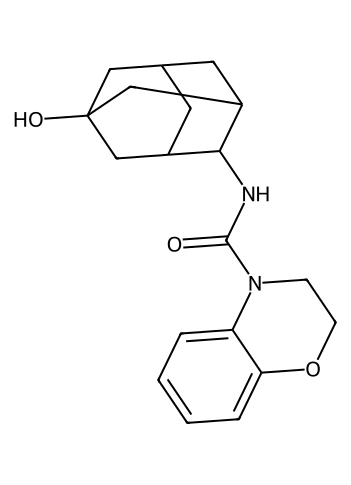 O=C(NC1C2CC3CC1CC(O)(C3)C2)N1CCOc2ccccc21